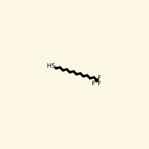 FC(F)(F)CCCCCCCCCCCCS